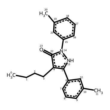 CCCCc1c(-c2cccc(C)c2)[nH]n(-c2cccc(C)c2)c1=O